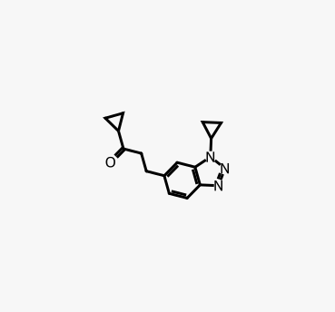 O=C(CCc1ccc2nnn(C3CC3)c2c1)C1CC1